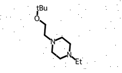 CCN1CCN(CCOC(C)(C)C)CC1